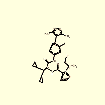 Cc1n[nH]c(C)c1-c1ccc(NC(=O)[C@@H](NC(=O)c2ccnn2[C@@H](C)CO)C(C2CC2)C2CC2)cc1F